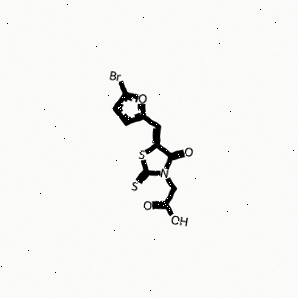 O=C(O)CN1C(=O)C(=Cc2ccc(Br)o2)SC1=S